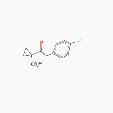 O=C(O)C1(C(=O)Cc2ccc(F)cc2)CC1